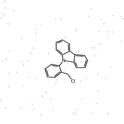 ClCc1ccccc1-n1c2ccccc2c2ccccc21